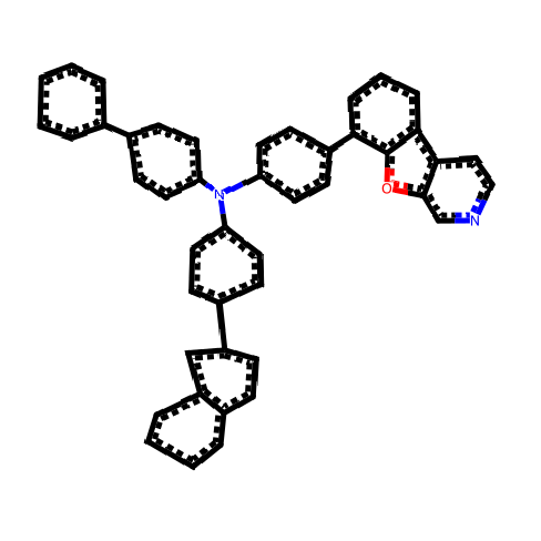 c1ccc(-c2ccc(N(c3ccc(-c4ccc5ccccc5c4)cc3)c3ccc(-c4cccc5c4oc4cnccc45)cc3)cc2)cc1